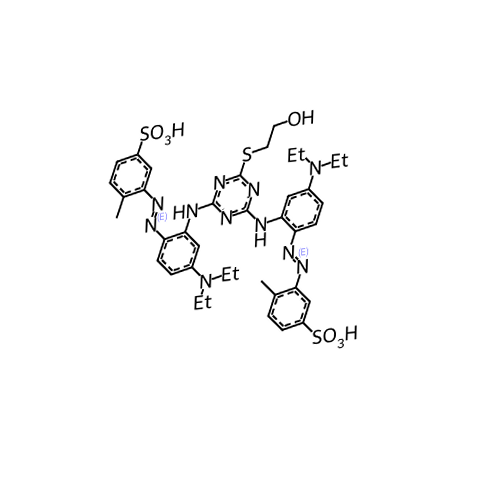 CCN(CC)c1ccc(/N=N/c2cc(S(=O)(=O)O)ccc2C)c(Nc2nc(Nc3cc(N(CC)CC)ccc3/N=N/c3cc(S(=O)(=O)O)ccc3C)nc(SCCO)n2)c1